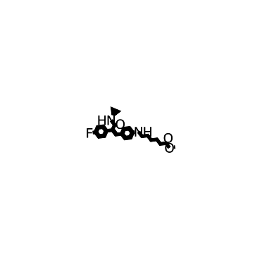 COC(=O)CCCCCNc1ccc(C=C(C(=O)NC2CC2)c2ccc(F)cc2)cc1